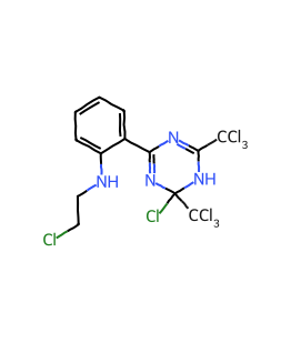 ClCCNc1ccccc1C1=NC(Cl)(C(Cl)(Cl)Cl)NC(C(Cl)(Cl)Cl)=N1